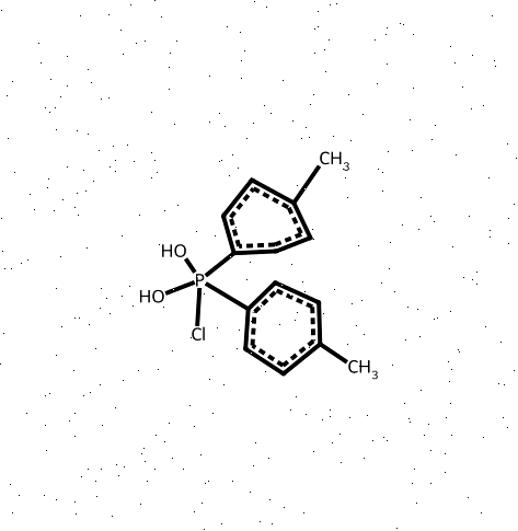 Cc1ccc(P(O)(O)(Cl)c2ccc(C)cc2)cc1